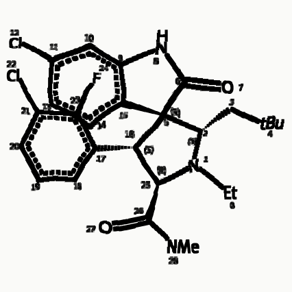 CCN1[C@@H](CC(C)(C)C)[C@@]2(C(=O)Nc3cc(Cl)ccc32)[C@@H](c2cccc(Cl)c2F)[C@@H]1C(=O)NC